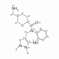 CN1CC2=C(Nc3ccccc3N(C(=O)C3CCC(CN)CC3)C2)N1C